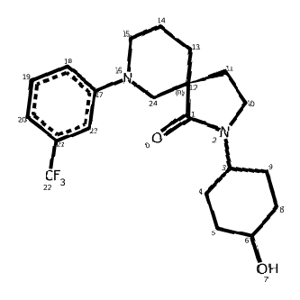 O=C1N(C2CCC(O)CC2)CC[C@@]12CCCN(c1cccc(C(F)(F)F)c1)C2